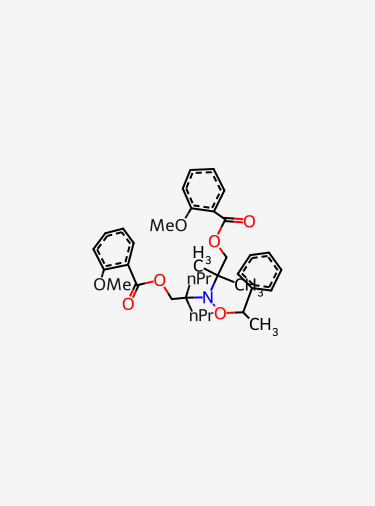 CCCC(CCC)(COC(=O)c1ccccc1OC)N(OC(C)c1ccccc1)C(C)(C)COC(=O)c1ccccc1OC